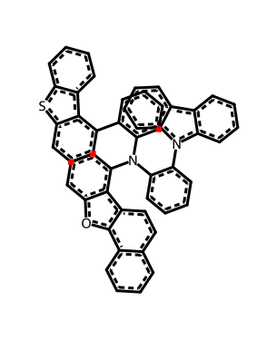 c1ccc(N(c2ccccc2-n2c3ccccc3c3ccccc32)c2cccc3oc4c5ccccc5ccc4c23)c(-c2cccc3sc4ccccc4c23)c1